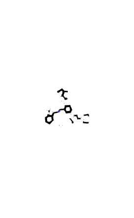 COCCN(CCN1CCOCC1)c1ccc(NC(=O)c2sccc2C)c(/C=C/c2n[nH]c3ccccc23)c1